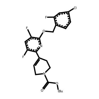 CC(C)(C)OC(=O)N1CC=C(c2nc(OCc3ccc(Cl)cc3F)c(F)cc2F)CC1